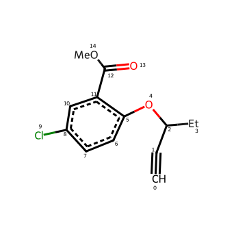 C#CC(CC)Oc1ccc(Cl)cc1C(=O)OC